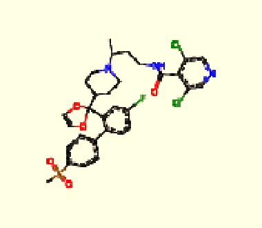 CC(CCNC(=O)c1c(Cl)cncc1Cl)N1CCC(C2(c3cc(F)ccc3-c3ccc(S(C)(=O)=O)cc3)OC=CO2)CC1